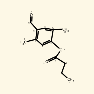 CC[CH]C(=O)Oc1cc(C)c(C=O)cc1C